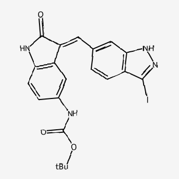 CC(C)(C)OC(=O)Nc1ccc2c(c1)/C(=C\c1ccc3c(I)n[nH]c3c1)C(=O)N2